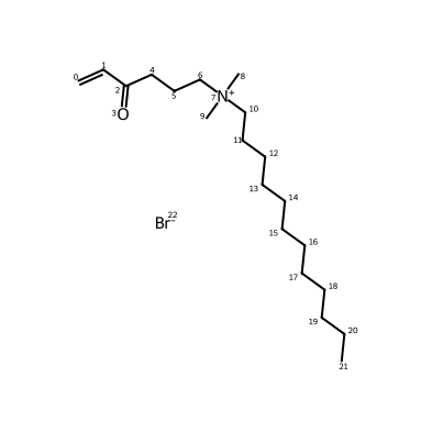 C=CC(=O)CCC[N+](C)(C)CCCCCCCCCCCC.[Br-]